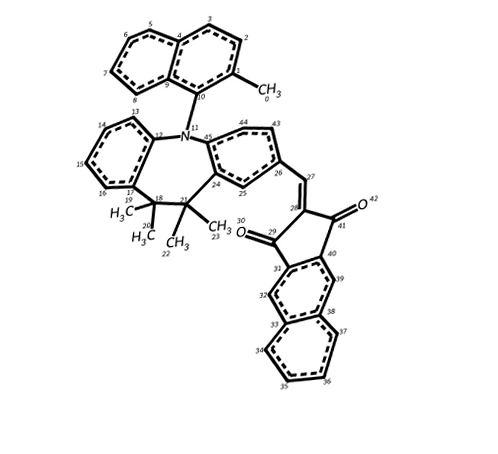 Cc1ccc2ccccc2c1N1c2ccccc2C(C)(C)C(C)(C)c2cc(C=C3C(=O)c4cc5ccccc5cc4C3=O)ccc21